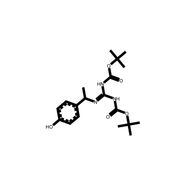 CC(N=C(NC(=O)OC(C)(C)C)NC(=O)OC(C)(C)C)c1ccc(O)cc1